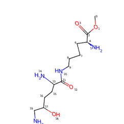 COC(=O)[C@@H](N)CCCCNC(=O)C(N)CCC(O)CN